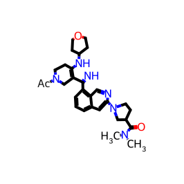 CC(=O)N1CCC(NC2CCOCC2)=C(C(=N)c2cccc3cc(N4CCC(C(=O)N(C)C)C4)ncc23)C1